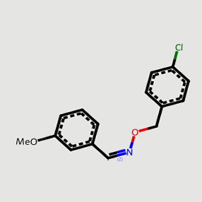 COc1cccc(/[C]=N\OCc2ccc(Cl)cc2)c1